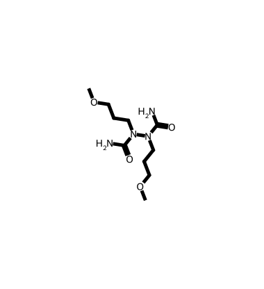 COCCCN(C(N)=O)N(CCCOC)C(N)=O